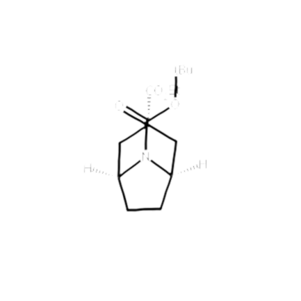 CCOC(=O)[C@@H]1C[C@H]2CC[C@@H](C1)N2C(=O)OC(C)(C)C